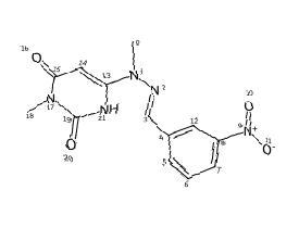 CN(N=Cc1cccc([N+](=O)[O-])c1)c1cc(=O)n(C)c(=O)[nH]1